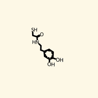 O=C(CS)NCCc1ccc(O)c(O)c1